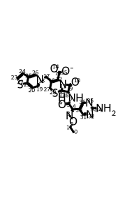 CCO/N=C(/C(=O)NC1C(=O)N2C(C(=O)[O-])=C(C[n+]3ccc4sccc4c3)CS[C@H]12)c1cnc(N)nc1